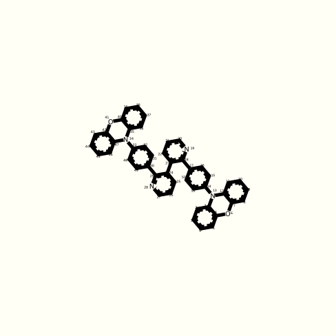 c1ccc2c(c1)Oc1ccccc1N2c1ccc(-c2ncccc2-c2cccnc2-c2ccc(N3c4ccccc4Oc4ccccc43)cc2)cc1